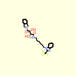 O=C(NCCCCCCn1c(C(F)(F)F)nc2ccccc21)[C@H](O)[C@@H](O)C(=O)N1Cc2ccccc2C1